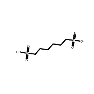 [O]S(=O)(=O)CCCCCCS(=O)(=O)O